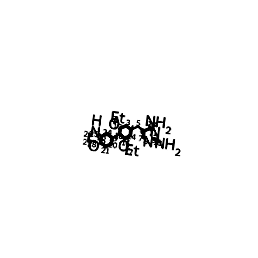 CCOc1cc(Cc2cnc(N)nc2N)cc(OCC)c1-c1ccc2c(c1)NCCO2